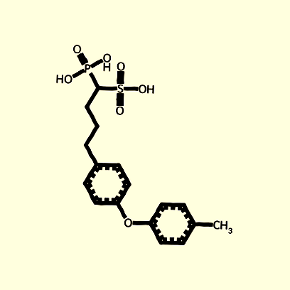 Cc1ccc(Oc2ccc(CCCC(P(=O)(O)O)S(=O)(=O)O)cc2)cc1